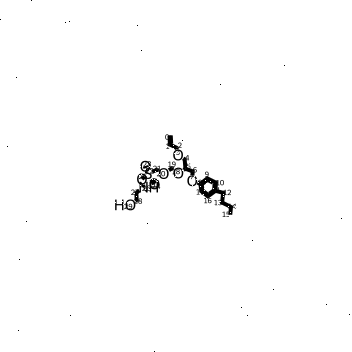 C=CCOCC(COc1ccc(CCCC)cc1)OCOCS(=O)(=O)ONCCO